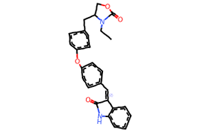 CCN1C(=O)OCC1Cc1ccc(Oc2ccc(/C=C3\C(=O)Nc4ccccc43)cc2)cc1